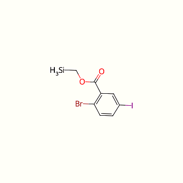 O=C(OC[SiH3])c1cc(I)ccc1Br